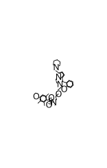 COc1cc(C)c(S(=O)(=O)N(C)CCOCC(=O)N2CCn3c(CN4CCCCC4)ccc3C2c2ccccc2)c(C)c1C